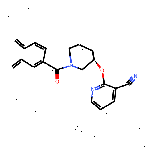 C=C/C=C\C(=C/C=C)C(=O)N1CCC[C@@H](Oc2ncccc2C#N)C1